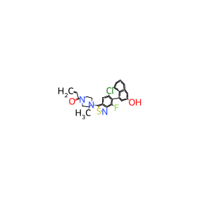 C=CC(=O)N1CCN(c2snc3c(F)c(-c4cc(O)cc5ccccc45)c(Cl)cc23)[C@H](C)C1